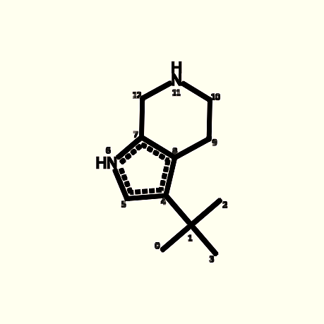 CC(C)(C)c1c[nH]c2c1CCNC2